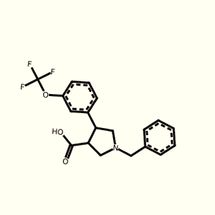 O=C(O)C1CN(Cc2ccccc2)CC1c1cccc(OC(F)(F)F)c1